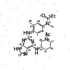 CCC(=O)N(C)c1ccc(Nc2nc(NC3CCCN(C(C)=O)C3)c3nc[nH]c3n2)c(C)c1